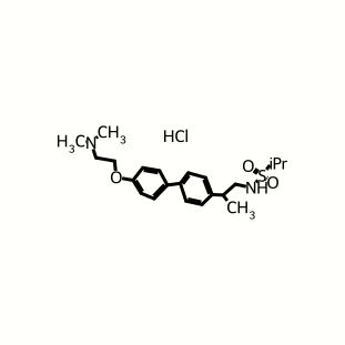 CC(CNS(=O)(=O)C(C)C)c1ccc(-c2ccc(OCCN(C)C)cc2)cc1.Cl